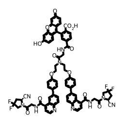 N#C[C@@H]1CC(F)(F)CN1C(=O)CNC(=O)c1ccnc2ccc(-c3ccc(OCCN(CCOc4ccc(-c5ccc6nccc(C(=O)NCC(=O)N7CC(F)(F)C[C@H]7C#N)c6c5)cc4)C(=O)CNC(=O)c4ccc(C(=O)O)c(-c5c6ccc(=O)cc-6oc6cc(O)ccc56)c4)cc3)cc12